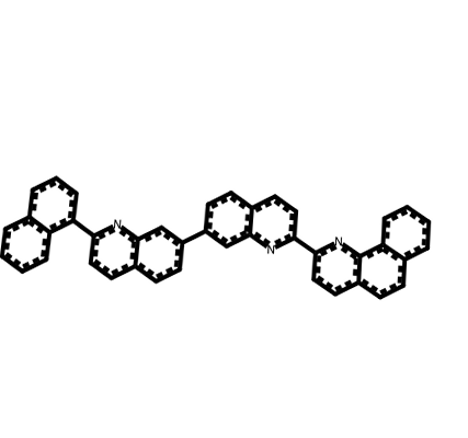 c1ccc2c(-c3ccc4ccc(-c5ccc6ccc(-c7ccc8ccc9ccccc9c8n7)nc6c5)cc4n3)cccc2c1